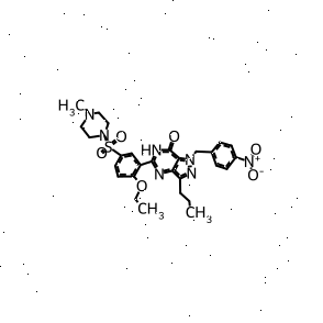 CCCc1nn(Cc2ccc([N+](=O)[O-])cc2)c2c(=O)[nH]c(-c3cc(S(=O)(=O)N4CCN(C)CC4)ccc3OCC)nc12